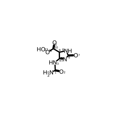 NC(=O)NC1=NC(=O)NC1C(=O)OO